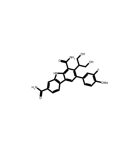 COc1ccc(-c2cc3c([nH]c4cc(C(N)=O)ccc43)c(C(N)=O)c2C(CO)CO)cc1F